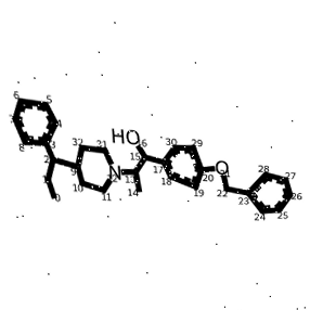 CCC(c1ccccc1)C1CCN(C(C)C(O)c2ccc(OCc3ccccc3)cc2)CC1